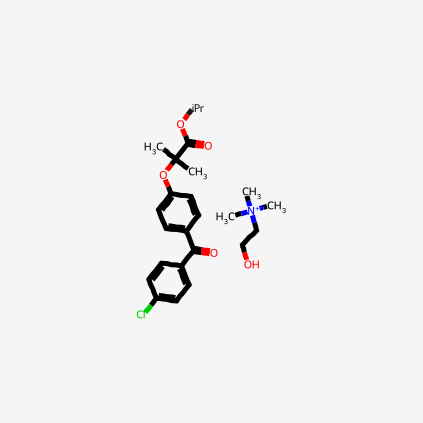 CC(C)OC(=O)C(C)(C)Oc1ccc(C(=O)c2ccc(Cl)cc2)cc1.C[N+](C)(C)CCO